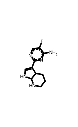 Nc1nc(C2=CNC3NCCCC23)ncc1F